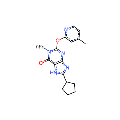 CCCn1c(Oc2cc(C)ccn2)nc2nc(C3CCCC3)[nH]c2c1=O